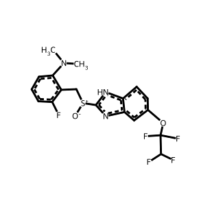 CN(C)c1cccc(F)c1C[S+]([O-])c1nc2cc(OC(F)(F)C(F)F)ccc2[nH]1